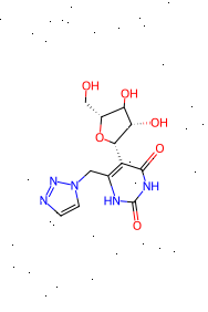 O=c1[nH]c(Cn2ccnn2)c([C@@H]2O[C@H](CO)C(O)[C@@H]2O)c(=O)[nH]1